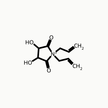 C=CC[N+]1(CC=C)C(=O)C(O)C(O)C1=O